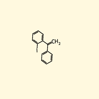 C=C(c1ccccc1)c1ccccc1I